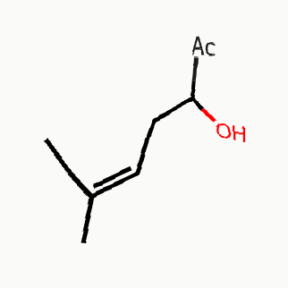 CC(=O)C(O)CC=C(C)C